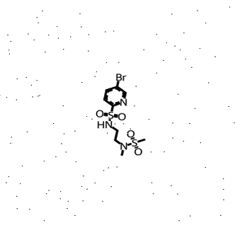 CN(CCNS(=O)(=O)c1ccc(Br)cn1)S(C)(=O)=O